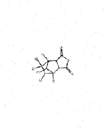 O=C1OC(=O)C2C1C1(Cl)C(Cl)C(Cl)(Cl)C2(Cl)C1Cl